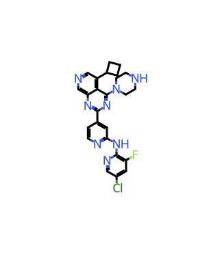 Fc1cc(Cl)cnc1Nc1cc(-c2nc(N3CCNCC3)c3c(C4CCC4)cncc3n2)ccn1